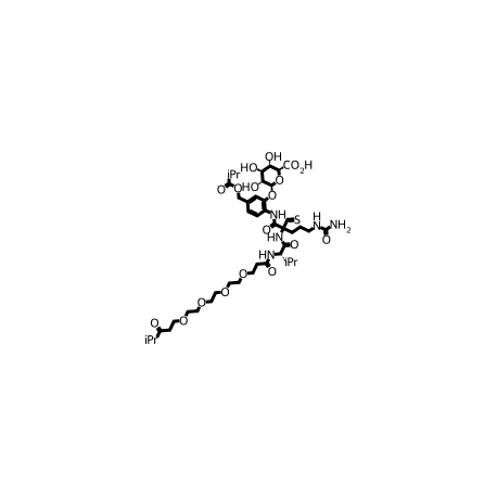 CC(C)C(=O)CCOCCOCCOCCOCCC(=O)N[C@H](C(=O)NC(C=S)(CCCNC(N)=O)C(=O)Nc1ccc(COC(=O)C(C)C)cc1O[C@@H]1O[C@H](C(=O)O)[C@@H](O)[C@H](O)[C@H]1O)C(C)C